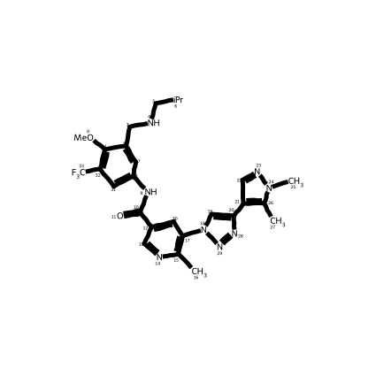 COc1c(CNCC(C)C)cc(NC(=O)c2cnc(C)c(-n3cc(-c4cnn(C)c4C)nn3)c2)cc1C(F)(F)F